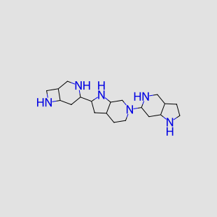 C1CC2CNC(N3CCC4CC(C5CC6NCC6CN5)NC4C3)CC2N1